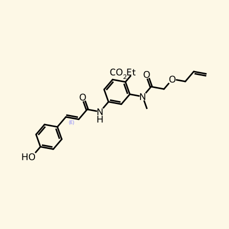 C=CCOCC(=O)N(C)c1cc(NC(=O)/C=C/c2ccc(O)cc2)ccc1C(=O)OCC